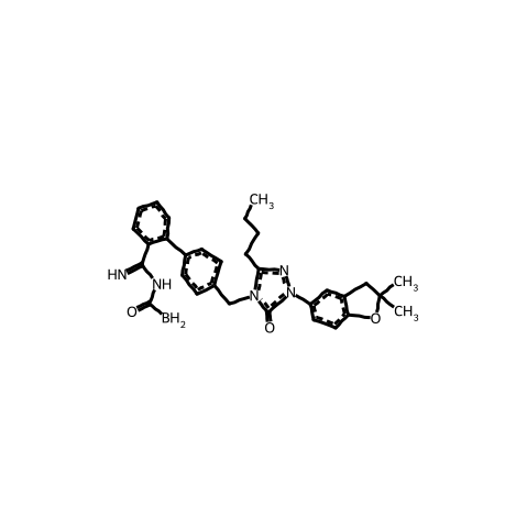 BC(=O)NC(=N)c1ccccc1-c1ccc(Cn2c(CCCC)nn(-c3ccc4c(c3)CC(C)(C)O4)c2=O)cc1